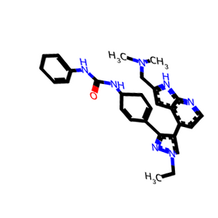 CCn1cc(-c2ccnc3[nH]c(CN(C)C)cc23)c(C2=CCC(NC(=O)NC3=CCCC=C3)C=C2)n1